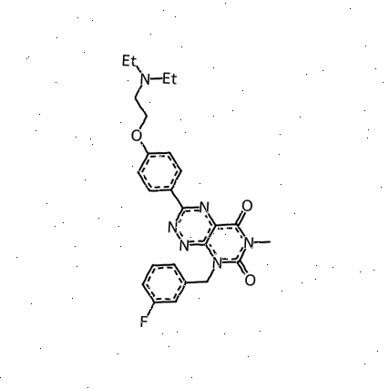 CCN(CC)CCOc1ccc(-c2nnc3c(n2)c(=O)n(C)c(=O)n3Cc2cccc(F)c2)cc1